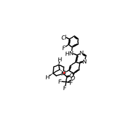 COc1cc2ncnc(Nc3cccc(Cl)c3F)c2cc1O[C@H]1[C@@H]2C[C@H]1CN(C(=O)C(F)(F)F)C2